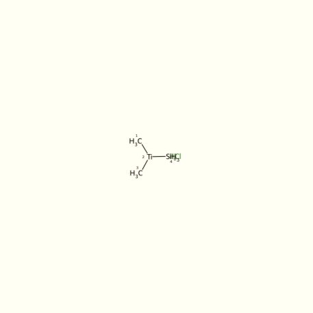 Cl.[CH3][Ti]([CH3])[SiH3]